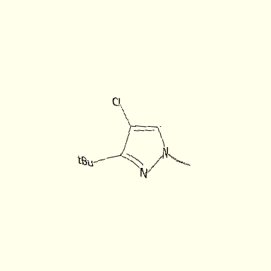 Cn1[c]c(Cl)c(C(C)(C)C)n1